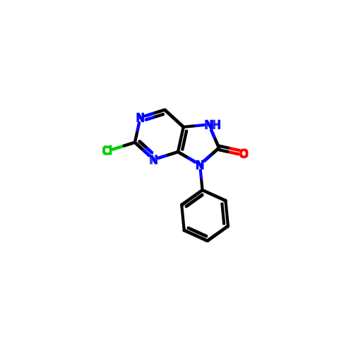 O=c1[nH]c2cnc(Cl)nc2n1-c1ccccc1